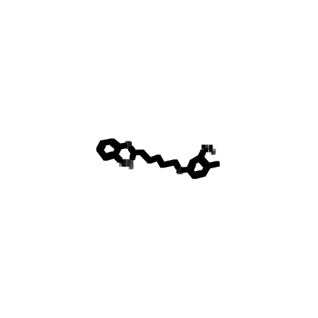 Cc1ccc(OCCCCCC(I)Oc2ccccc2N)cc1N